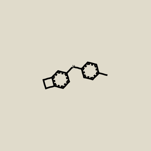 Cc1ccc([I+]c2ccc3c(c2)CC3)cc1